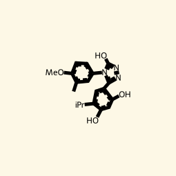 COc1ccc(-n2c(O)nnc2-c2cc(C(C)C)c(O)cc2O)cc1C